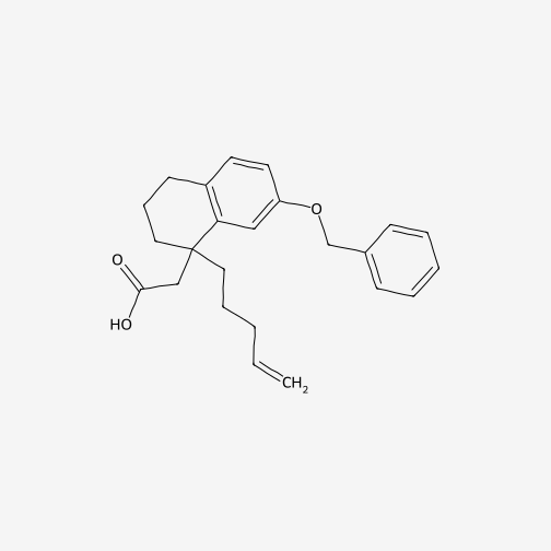 C=CCCCC1(CC(=O)O)CCCc2ccc(OCc3ccccc3)cc21